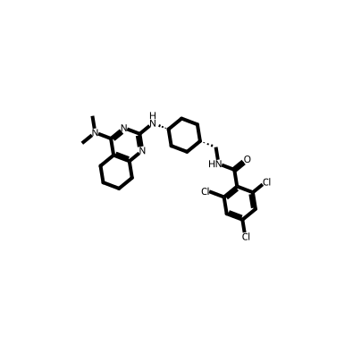 CN(C)c1nc(N[C@H]2CC[C@@H](CNC(=O)c3c(Cl)cc(Cl)cc3Cl)CC2)nc2c1CCCC2